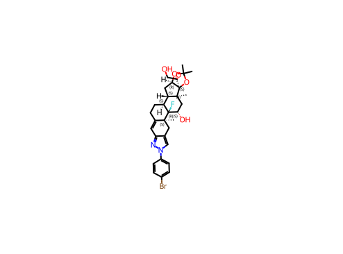 CC1(C)O[C@@H]2C[C@H]3[C@@H]4CCC5=Cc6nn(-c7ccc(Br)cc7)cc6C[C@]5(C)[C@@]4(F)[C@@H](O)C[C@]3(C)[C@]2(C(=O)CO)O1